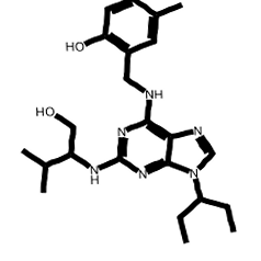 CCC(CC)n1cnc2c(NCc3cc(C)ccc3O)nc(NC(CO)C(C)C)nc21